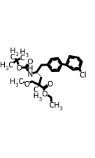 CCOC(=O)[C@](C)(COC)C[C@@H](Cc1ccc(-c2cccc(Cl)c2)cc1)NC(=O)OC(C)(C)C